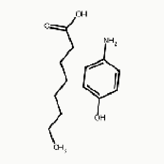 CCCCCCCC(=O)O.Nc1ccc(O)cc1